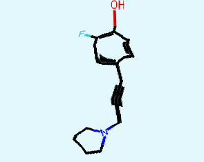 Oc1ccc(C#CCN2CCCC2)cc1F